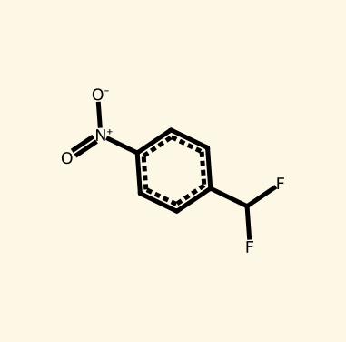 O=[N+]([O-])c1ccc(C(F)F)cc1